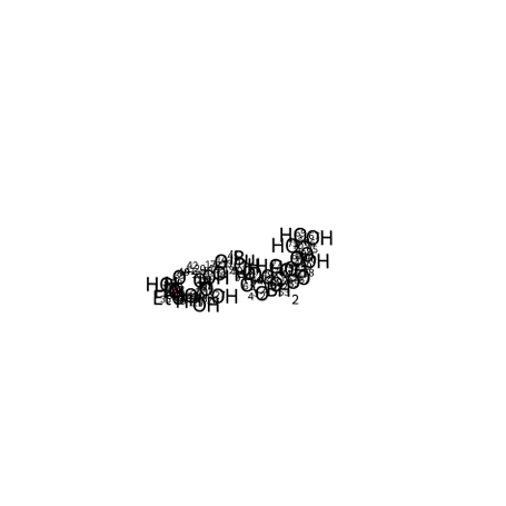 B[C@@H]1O[C@H](C)[C@H](OC(=O)C[C@@H](O)C[C@H](OC(=O)C[C@@H](O)C[C@@H]2O[C@@H]3O[C@@H](CO)[C@H](O)[C@H]3O[C@@H]3O[C@@H](CC)[C@H](O)[C@@H](OC[C@@H]2C)[C@H]3O)[C@@H](C)CC)[C@H](O)[C@H]1O[C@@H]1O[C@@H](C)[C@H](O[C@@H]2OC[C@@H](O)[C@H](O[C@@H]3OC[C@@H](O)[C@H](O)[C@H]3O)[C@H]2O)[C@@H](O)[C@H]1O